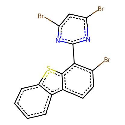 Brc1cc(Br)nc(-c2c(Br)ccc3c2sc2ccccc23)n1